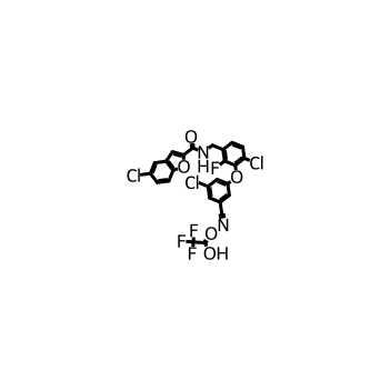 N#Cc1cc(Cl)cc(Oc2c(Cl)ccc(CNC(=O)c3cc4cc(Cl)ccc4o3)c2F)c1.O=C(O)C(F)(F)F